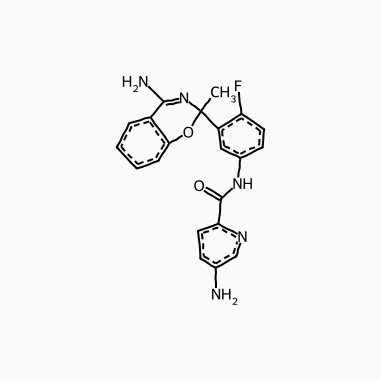 CC1(c2cc(NC(=O)c3ccc(N)cn3)ccc2F)N=C(N)c2ccccc2O1